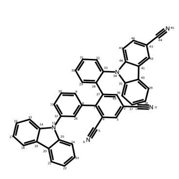 N#Cc1cc(C#N)c(-c2cccc(-n3c4ccccc4c4ccccc43)c2)c(-c2ccccc2-n2c3ccccc3c3cc(C#N)ccc32)c1